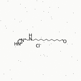 O=CCCCCCCCCCCCNCC[n+]1cc[nH]c1.[Cl-]